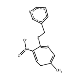 CC1=CN=C(SCc2cccnc2)C([N+](=O)[O-])=CC1